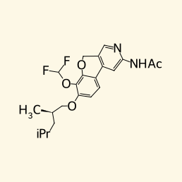 CC(=O)Nc1cc2c(cn1)COc1c-2ccc(OC[C@H](C)CC(C)C)c1OC(F)F